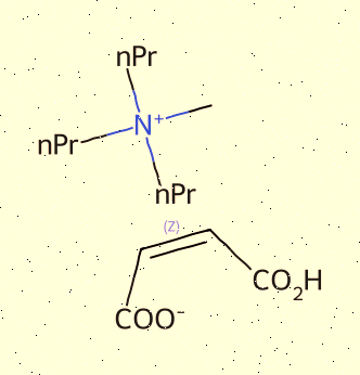 CCC[N+](C)(CCC)CCC.O=C([O-])/C=C\C(=O)O